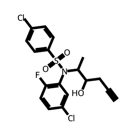 C#CCC(O)C(C)N(c1cc(Cl)ccc1F)S(=O)(=O)c1ccc(Cl)cc1